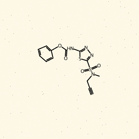 C#CCN(C)S(=O)(=O)c1nnc(NC(=O)Oc2ccccc2)s1